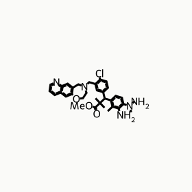 COC(=O)C(C)(C)C(c1ccc(Cl)c(CN2CCOc3cc4cccnc4cc3C2)c1)c1ccc(N(C)N)c(N)c1C